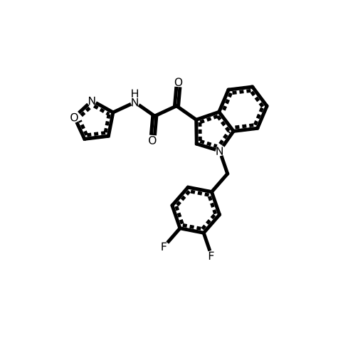 O=C(Nc1ccon1)C(=O)c1cn(Cc2ccc(F)c(F)c2)c2ccccc12